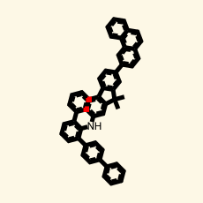 CC1(C)c2cc(Nc3c(-c4ccccc4)cccc3-c3ccc(-c4ccccc4)cc3)ccc2-c2ccc(-c3ccc4ccc5ccccc5c4c3)cc21